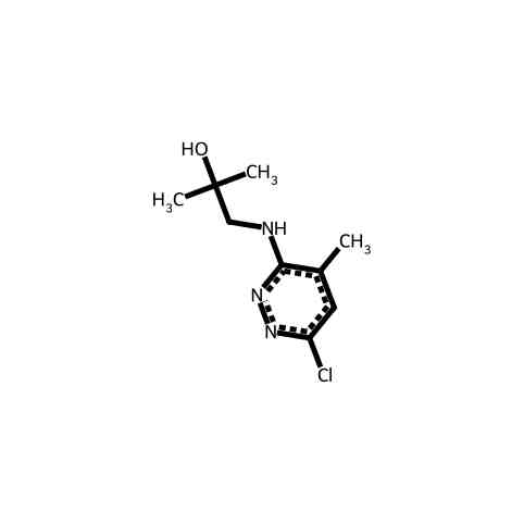 Cc1cc(Cl)nnc1NCC(C)(C)O